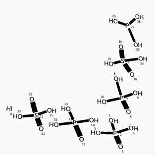 I.O=P(O)(O)O.O=P(O)(O)O.O=P(O)(O)O.O=S(=O)(O)O.O=S(=O)(O)O.OP(O)O